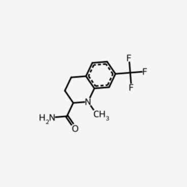 CN1c2cc(C(F)(F)F)ccc2CCC1C(N)=O